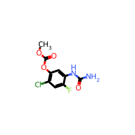 COC(=O)Oc1cc(NC(N)=O)c(F)cc1Cl